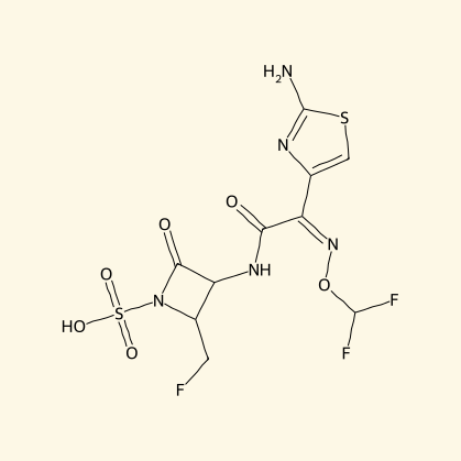 Nc1nc(C(=NOC(F)F)C(=O)NC2C(=O)N(S(=O)(=O)O)C2CF)cs1